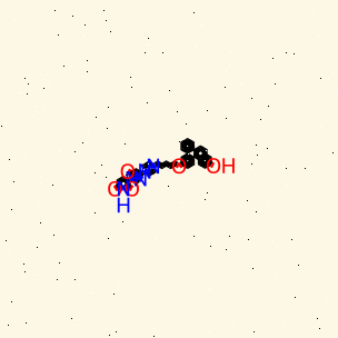 O=C1CCC(n2cnc(N3CCN(CCCCCOc4ccc([C@@H]5c6ccc(O)cc6CC[C@@H]5c5ccccc5)cc4)CC3)cc2=O)C(=O)N1